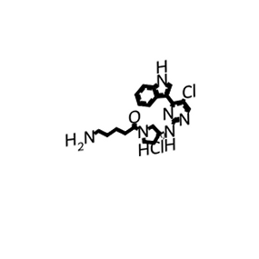 Cl.NCCCCC(=O)N1CC[C@@H](Nc2ncc(Cl)c(-c3c[nH]c4ccccc34)n2)C1